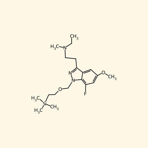 CCN(C)CCc1nn(COCC[Si](C)(C)C)c2c(F)cc(OC)cc12